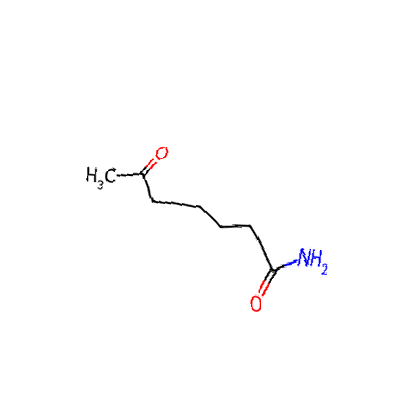 CC(=O)CCCCC(N)=O